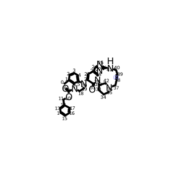 Cc1cccc2c1N(C(=O)OCc1ccccc1)CCN2c1cc2cnc3nc2n(c1=O)C1CCCN(C/C=C\CN3)C1